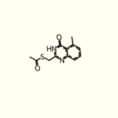 CC(=O)SCc1nc2cccc(C)c2c(=O)[nH]1